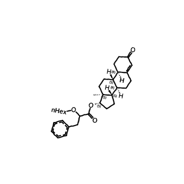 CCCCCCOC(Cc1ccccc1)C(=O)O[C@H]1CC[C@H]2[C@@H]3CCC4=CC(=O)CC[C@@H]4[C@H]3CC[C@]12C